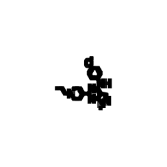 CCCN1CC=C(c2nc(Nc3ccc(OC)cc3)c3cnn(C)c3n2)CC1